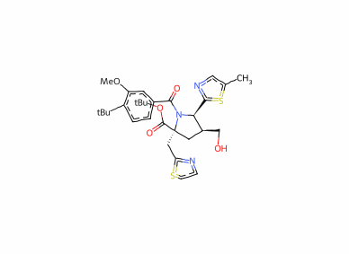 COc1cc(C(=O)N2[C@@H](c3ncc(C)s3)[C@@H](CO)C[C@@]2(Cc2nccs2)C(=O)OC(C)(C)C)ccc1C(C)(C)C